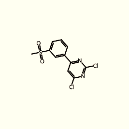 CS(=O)(=O)c1cccc(-c2cc(Cl)nc(Cl)n2)c1